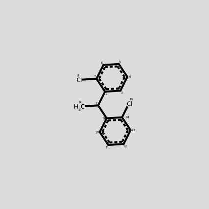 C[C](c1ccccc1Cl)c1ccccc1Cl